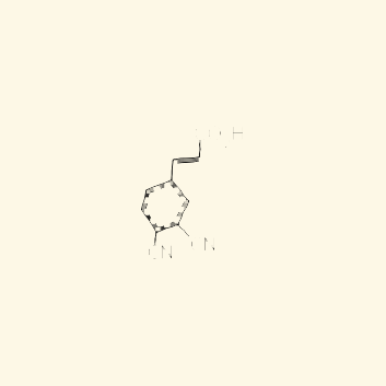 N#Cc1ccc(C=CC(=O)O)cc1C#N